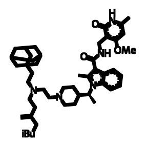 C=C(CCN(CCN1CCC([C@H](C)n2c(C)c(C(=O)NCc3c(OC)cc(C)[nH]c3=O)c3ccccc32)CC1)CCC12CC3CC(CC(C3)C1)C2)CC(C)CC